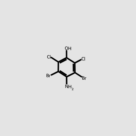 Nc1c(Br)c(Cl)c(O)c(Cl)c1Br